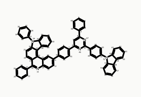 c1ccc(-c2cc(-c3ccc(-c4ccc5nc(-c6ccccc6)c6ccc7c(c8ccccc8n7-c7ccccc7)c6c5c4)cc3)nc(-c3ccc(-n4c5ccccc5c5ccccc54)cc3)n2)cc1